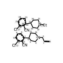 C=CCN1CCC(c2cccc(Cl)c2C#N)CC1.CCN1CCC(c2cccc(Cl)c2C#N)CC1